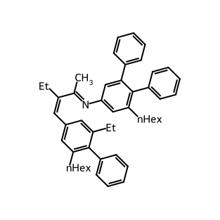 CCCCCCc1cc(C=C(CC)C(C)=Nc2cc(CCCCCC)c(-c3ccccc3)c(-c3ccccc3)c2)cc(CC)c1-c1ccccc1